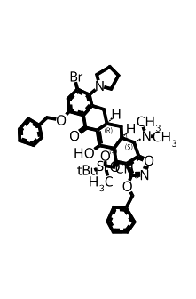 CN(C)[C@@H]1c2onc(OCc3ccccc3)c2C(=O)[C@@]2(O[Si](C)(C)C(C)(C)C)C(O)=C3C(=O)c4c(OCc5ccccc5)cc(Br)c(N5CCCC5)c4C[C@H]3C[C@@H]12